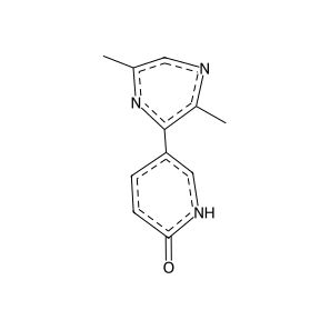 Cc1cnc(C)c(-c2ccc(=O)[nH]c2)n1